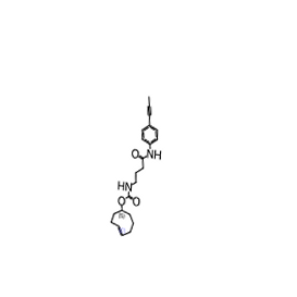 CC#Cc1ccc(NC(=O)CCCNC(=O)O[C@@H]2CC/C=C/CCC2)cc1